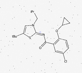 CC(C)Cn1cc(C(C)(C)C)s/c1=N\C(=O)c1cc(Cl)ccc1OC1CC1